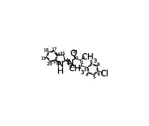 CC(Cc1ccc(Cl)cc1)C(=O)N(C)C1Cc2ccccc2N1